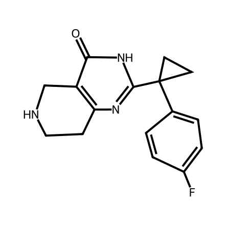 O=c1[nH]c(C2(c3ccc(F)cc3)CC2)nc2c1CNCC2